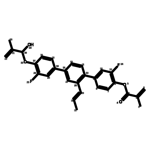 C=C(C)C(=O)Oc1ccc(-c2ccc(-c3ccc(OC(O)C(=C)C)c(F)c3)cc2/C=C/C)cc1F